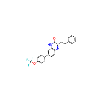 O=c1[nH]c2cc(-c3ccc(OC(F)(F)F)cc3)ccc2nc1CCc1ccccc1